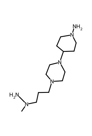 CN(N)CCCN1CCN(C2CCN(N)CC2)CC1